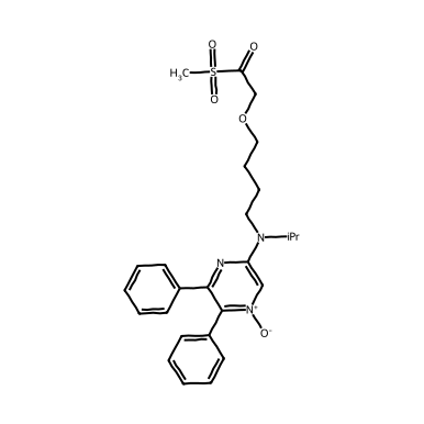 CC(C)N(CCCCOCC(=O)S(C)(=O)=O)c1c[n+]([O-])c(-c2ccccc2)c(-c2ccccc2)n1